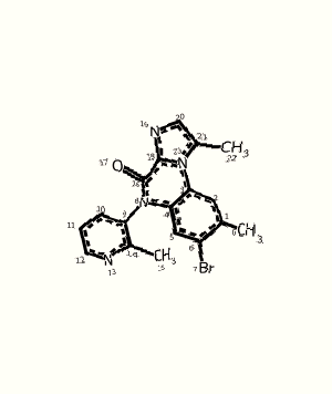 Cc1cc2c(cc1Br)n(-c1cccnc1C)c(=O)c1ncc(C)n12